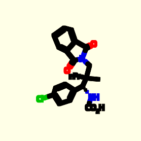 CCCC(C)(CN1C(=O)c2ccccc2C1=O)[C@H](NC(=O)O)c1ccc(Cl)cc1